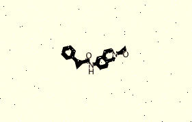 O=C(Nc1ccc2c(c1)C=CN(C1CO1)C2)C1CC1c1ccccc1